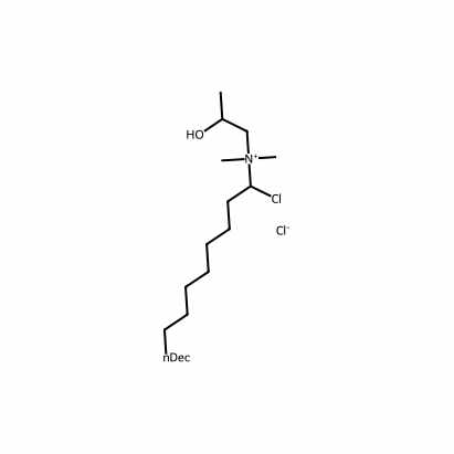 CCCCCCCCCCCCCCCCCC(Cl)[N+](C)(C)CC(C)O.[Cl-]